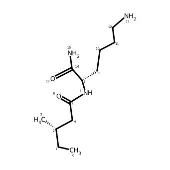 CC[C@H](C)CC(=O)N[C@@H](CCCCN)C(N)=O